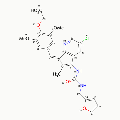 COc1cc(/C=C2/C(C)=C(NC(=O)NCc3ccco3)c3cc(Cl)cnc32)cc(OC)c1OCC(=O)O